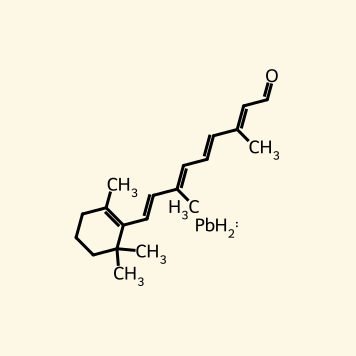 CC1=C(/C=C/C(C)=C/C=C/C(C)=C/C=O)C(C)(C)CCC1.[PbH2]